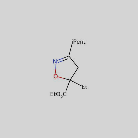 CCCC(C)C1=NOC(CC)(C(=O)OCC)C1